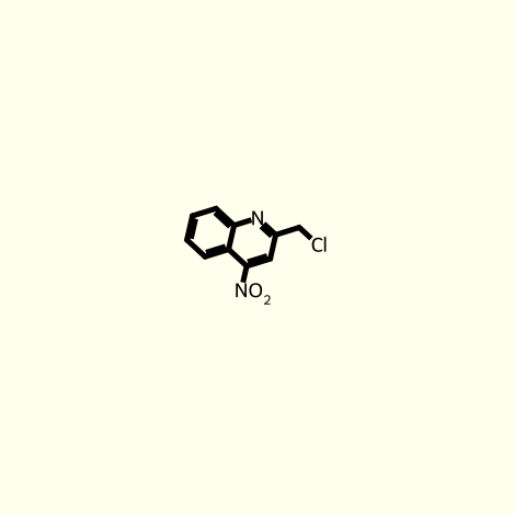 O=[N+]([O-])c1cc(CCl)nc2ccccc12